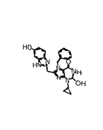 O=C1NC(O)N(C2CC2)c2nc(Cc3nc4ccc(O)cc4[nH]3)n(Cc3ccccc3)c21